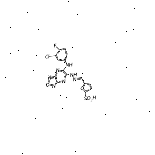 O=S(=O)(O)c1ccc(C=NNc2nc3nonc3nc2Nc2ccc(F)c(Cl)c2)o1